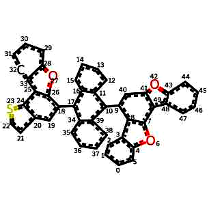 c1ccc2c(c1)oc1c2c(-c2c3ccccc3c(-c3cc4ccsc4c4c3oc3ccccc34)c3ccccc23)cc2oc3ccccc3c21